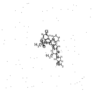 CC1Cn2nc([C@@H]3CCCCN3C(=O)c3cc(Cl)ccc3NS(C)(=O)=O)cc2N=C1N1CC[C@H](N)C1